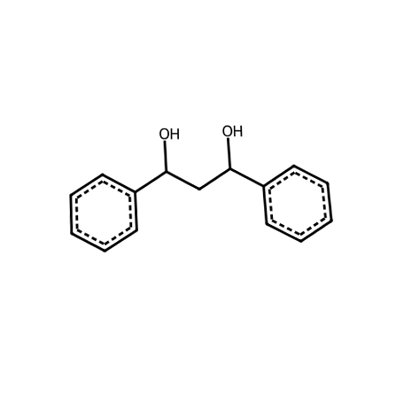 OC(CC(O)c1ccccc1)c1ccccc1